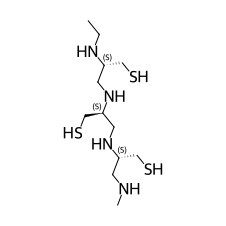 CCN[C@H](CS)CN[C@H](CS)CN[C@H](CS)CNC